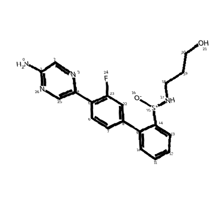 Nc1cnc(-c2ccc(-c3ccccc3[S+]([O-])NCCCO)cc2F)cn1